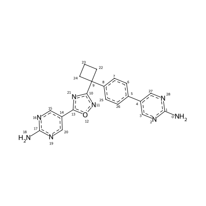 Nc1ncc(-c2ccc(C3(c4noc(-c5cnc(N)nc5)n4)CCC3)cc2)cn1